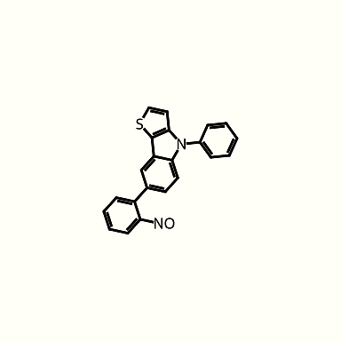 O=Nc1ccccc1-c1ccc2c(c1)c1sccc1n2-c1ccccc1